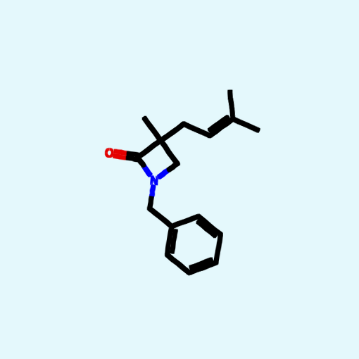 CC(C)=CCC1(C)CN(Cc2ccccc2)C1=O